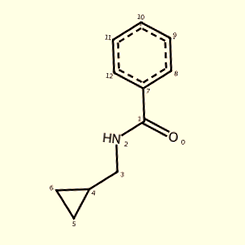 O=C(NCC1CC1)c1c[c][c]cc1